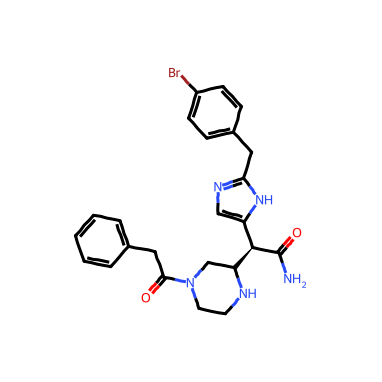 NC(=O)[C@H](c1cnc(Cc2ccc(Br)cc2)[nH]1)C1CN(C(=O)Cc2ccccc2)CCN1